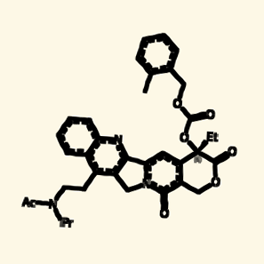 CC[C@@]1(OC(=O)OCc2ccccc2C)C(=O)OCc2c1cc1n(c2=O)Cc2c-1nc1ccccc1c2CCN(C(C)=O)C(C)C